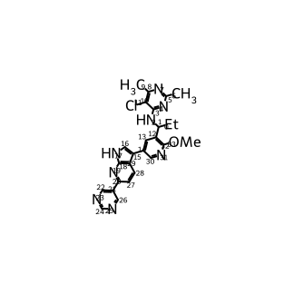 CCC(Nc1nc(C)nc(C)c1Cl)c1cc(-c2c[nH]c3nc(-c4cncnc4)ccc23)cnc1OC